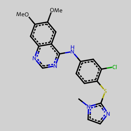 COc1cc2ncnc(Nc3ccc(Sc4nccn4C)c(Cl)c3)c2cc1OC